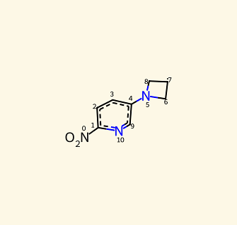 O=[N+]([O-])c1ccc(N2C[CH]C2)cn1